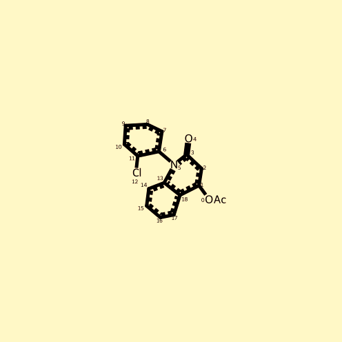 CC(=O)Oc1cc(=O)n(-c2ccccc2Cl)c2ccccc12